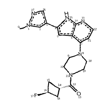 Cn1cc(-c2cc3c(N4CCN(C(=O)[C@H]5C[C@H](F)C5)CC4)ccnc3[nH]2)cn1